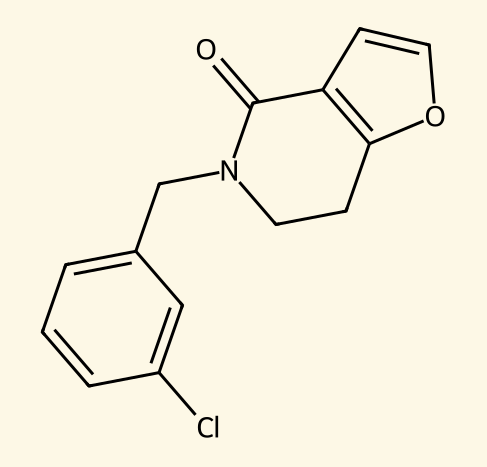 O=C1c2ccoc2CCN1Cc1cccc(Cl)c1